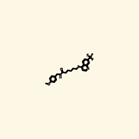 COc1ccc(CNC(=O)CCCCCSc2ccnc3cc(C(F)(F)F)ccc23)cc1